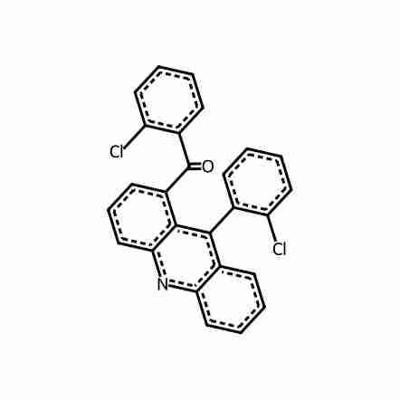 O=C(c1ccccc1Cl)c1cccc2nc3ccccc3c(-c3ccccc3Cl)c12